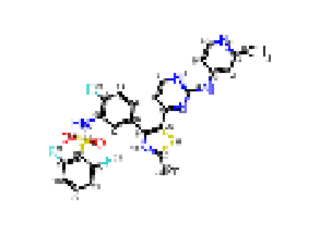 Cc1cc(Nc2nccc(-c3sc(C(C)C)nc3-c3ccc(F)c(NS(=O)(=O)c4c(F)cccc4F)c3)n2)ccn1